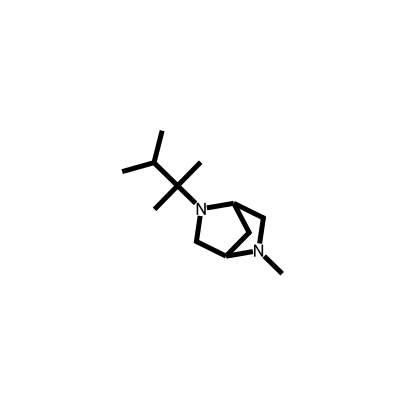 CC(C)C(C)(C)N1CC2CC1CN2C